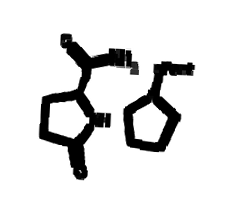 CCCCCN1CCCC1.NC(=O)[C@@H]1CCC(=O)N1